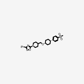 CC(C)c1noc(N2CCC(CO[C@H]3CC[C@@H](c4ccc(S(C)(=O)=O)cc4)CC3)CC2)n1